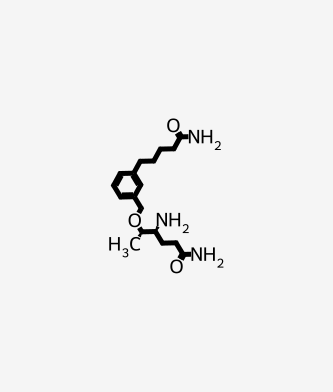 C[C@@H](OCc1cccc(CCCCC(N)=O)c1)[C@@H](N)CCC(N)=O